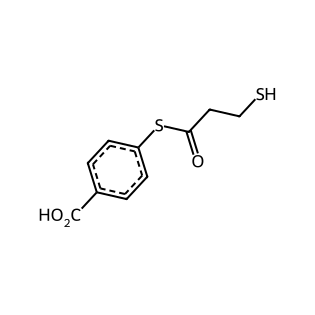 O=C(CCS)Sc1ccc(C(=O)O)cc1